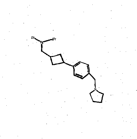 CCN(CC1CC(c2ccc(CN3CCCC3)cc2)C1)C(C)C